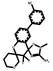 CN1OC2(N=C1N)c1cc(-c3cccc(C#N)c3)ccc1OC1(CCCOC1)C2(F)F